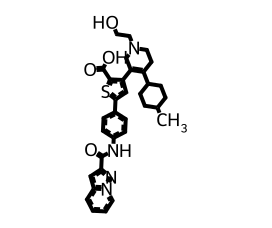 CC1CCC(C2=C(c3cc(-c4ccc(NC(=O)c5cc6ccccn6n5)cc4)sc3C(=O)O)CN(CCO)CC2)CC1